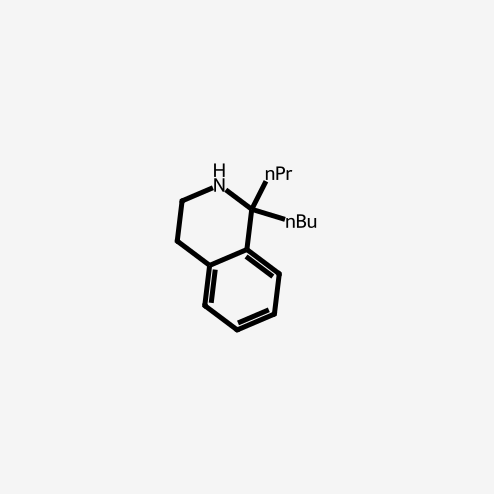 CCCCC1(CCC)NCCc2ccccc21